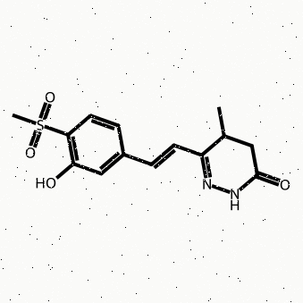 CC1CC(=O)NN=C1C=Cc1ccc(S(C)(=O)=O)c(O)c1